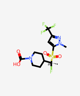 Cn1nc(C(F)(F)F)cc1S(=O)(=O)[C@@](C)(F)C1CCN(C(=O)O)CC1